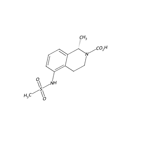 C[C@H]1c2cccc(NS(C)(=O)=O)c2CCN1C(=O)O